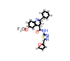 O=C(Nc1nnc(-c2ccco2)s1)c1cc(-c2ccccc2)nc2ccc(OC(F)(F)F)cc12